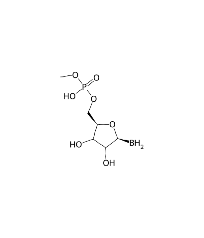 B[C@@H]1O[C@H](COP(=O)(O)OC)C(O)C1O